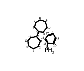 C1CCCC(C2CCCCCC2)CC1.Pc1ccccc1